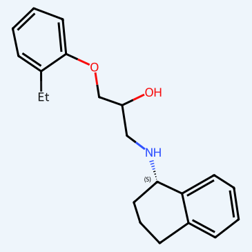 CCc1ccccc1OCC(O)CN[C@H]1CCCc2ccccc21